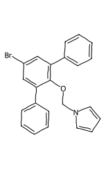 Brc1cc(-c2ccccc2)c(OCn2cccc2)c(-c2ccccc2)c1